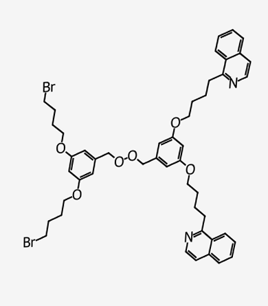 BrCCCCOc1cc(COOCc2cc(OCCCCc3nccc4ccccc34)cc(OCCCCc3nccc4ccccc34)c2)cc(OCCCCBr)c1